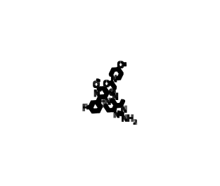 COc1cccc(-c2cc(F)ccc2[C@H]2Cc3nc(N)nc(C)c3/C(=N/OCC(=O)N3CCC(OC)CC3)N2)n1